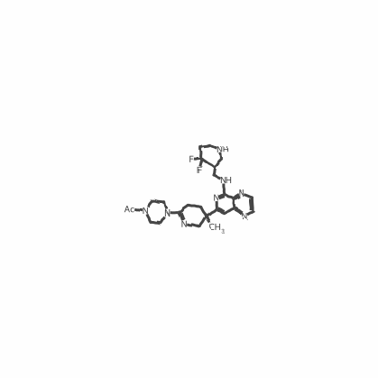 CC(=O)N1CCN(C2=NCC(C)(c3cc4nccnc4c(NCC4CNCCC4(F)F)n3)CC2)CC1